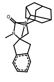 CN(C)C12CC3CC(C1)C(N1CC4(Cc5ccccc5C4)N(C)C1=O)C(C3)C2